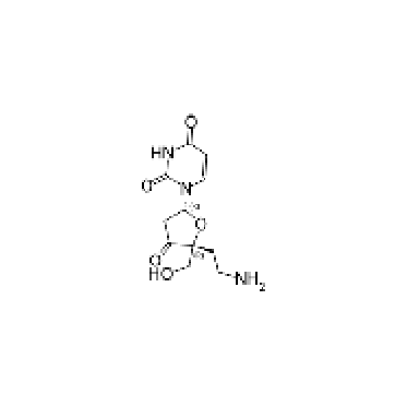 NCC[C@]1(CO)O[C@@H](n2ccc(=O)[nH]c2=O)CC1=O